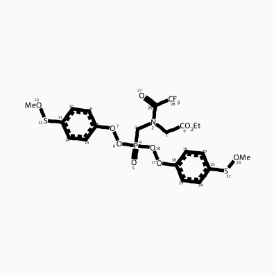 CCOC(=O)CN(CP(=O)(OOc1ccc(SOC)cc1)OOc1ccc(SOC)cc1)C(=O)C(F)(F)F